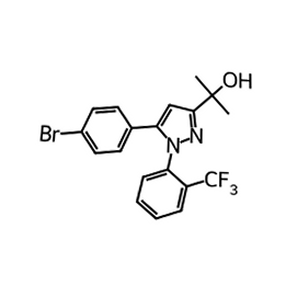 CC(C)(O)c1cc(-c2ccc(Br)cc2)n(-c2ccccc2C(F)(F)F)n1